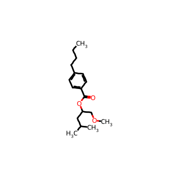 CCCCc1ccc(C(=O)OC(COC)CC(C)C)cc1